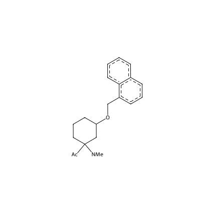 CNC1(C(C)=O)CCCC(OCc2cccc3ccccc23)C1